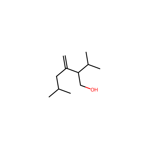 C=C(CC(C)C)C(CO)C(C)C